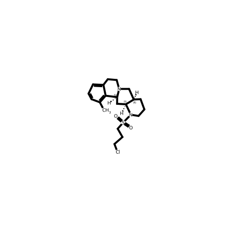 Cc1cccc2c1[C@@H]1C[C@H]3[C@H](CCCN3S(=O)(=O)CCCCl)CN1CC2